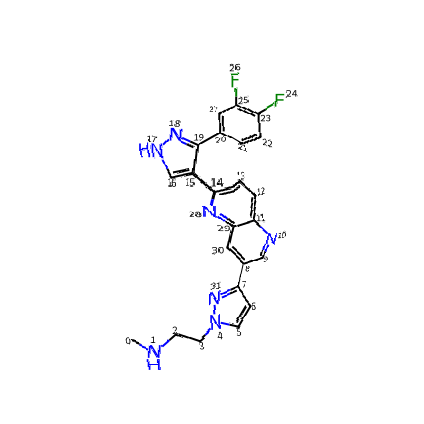 CNCCn1ccc(-c2cnc3ccc(-c4c[nH]nc4-c4ccc(F)c(F)c4)nc3c2)n1